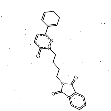 O=C1c2ccccc2C(=O)N1CCCCn1nc(C2=CCCC=C2)ccc1=O